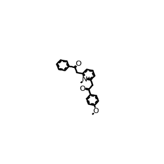 COc1ccc(C(=O)Cc2cccc(CC(=O)c3ccccc3)[n+]2C)cc1